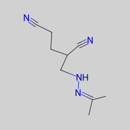 CC(C)=NNCC(C#N)CCC#N